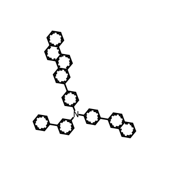 c1ccc(-c2cccc(N(c3ccc(-c4ccc5ccccc5c4)cc3)c3ccc(-c4ccc5c(ccc6c7ccccc7ccc56)c4)cc3)c2)cc1